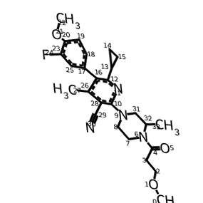 COCCC(=O)N1CCN(c2nc(C3CC3)c(-c3ccc(OC)c(F)c3)c(C)c2C#N)CC1C